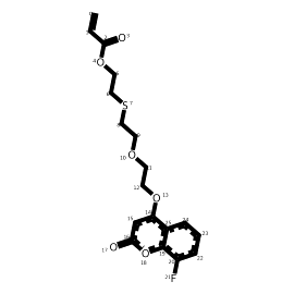 C=CC(=O)OCCSCCOCCOc1cc(=O)oc2c(F)cccc12